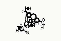 CNC(=O)c1ccc2c(c1)CCc1cc(C(=O)NC)ccc1C2(CC1(NCC(=O)N2[C@H](C#N)C[C@@H]3C[C@@H]32)CCCC1)c1nnn[nH]1